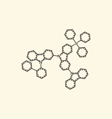 c1ccc(-c2ccccc2-n2c3ccccc3c3ccc(-n4c5ccc(-n6c7ccccc7c7ccccc76)cc5c5cc([Si](c6ccccc6)(c6ccccc6)c6ccccc6)ccc54)cc32)cc1